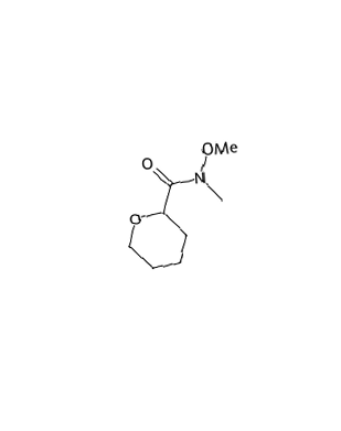 CON(C)C(=O)C1CCCCO1